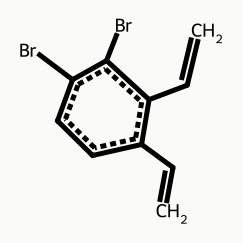 C=Cc1ccc(Br)c(Br)c1C=C